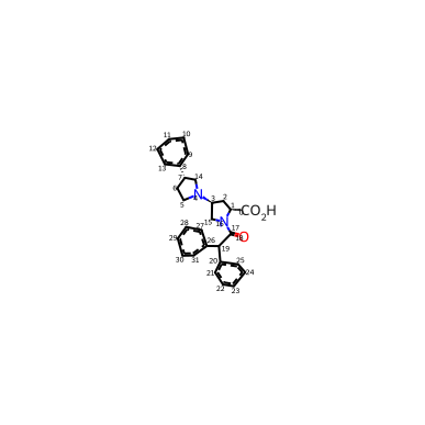 O=C(O)[C@@H]1C[C@H](N2CC[C@H](c3ccccc3)C2)CN1C(=O)C(c1ccccc1)c1ccccc1